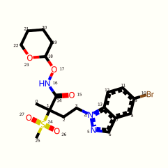 CC(CCn1ncc2cc(Br)ccc21)(C(=O)NOC1CCCCO1)S(C)(=O)=O